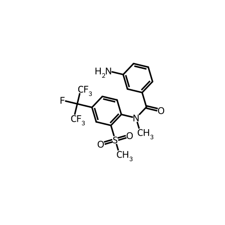 CN(C(=O)c1cccc(N)c1)c1ccc(C(F)(C(F)(F)F)C(F)(F)F)cc1S(C)(=O)=O